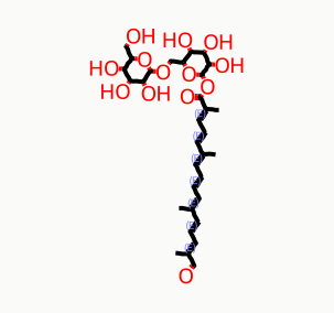 C\C(C=O)=C/C=C/C(C)=C/C=C/C=C(C)/C=C/C=C(\C)C(=O)OC1OC(COC2OC(CO)C(O)C(O)C2O)C(O)C(O)C1O